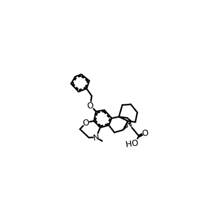 CN1CCOc2c(OCc3ccccc3)cc3c(c21)CC1C2CCCCC32CCN1C(=O)O